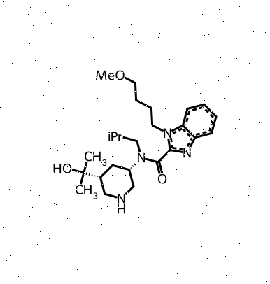 COCCCCn1c(C(=O)N(CC(C)C)[C@@H]2CNC[C@H](C(C)(C)O)C2)nc2ccccc21